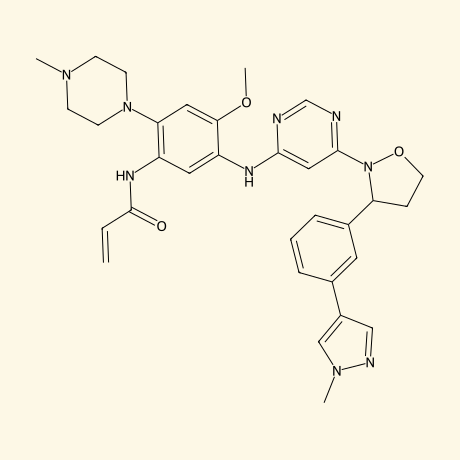 C=CC(=O)Nc1cc(Nc2cc(N3OCCC3c3cccc(-c4cnn(C)c4)c3)ncn2)c(OC)cc1N1CCN(C)CC1